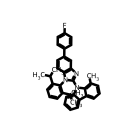 Cc1cccc2c3ccccc3n(-c3nc4cc(-c5ccc(F)cc5)ccc4n3-c3c(C(C)C)cccc3C(C)C)c12